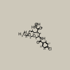 C=CCC(CC(COCOCC)NC(=O)c1ccc(Cl)cc1)C(=O)NO